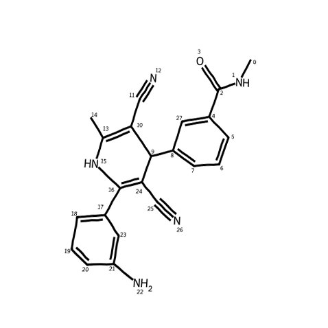 CNC(=O)c1cccc(C2C(C#N)=C(C)NC(c3cccc(N)c3)=C2C#N)c1